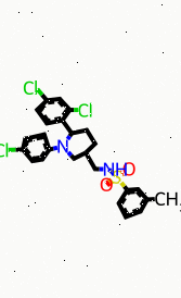 Cc1cccc(S(=O)(=O)NCC2CCC(c3ccc(Cl)cc3Cl)N(c3ccc(Cl)cc3)C2)c1